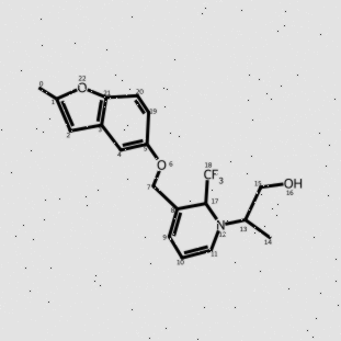 Cc1cc2cc(OCC3=CC=CN(C(C)CO)C3C(F)(F)F)ccc2o1